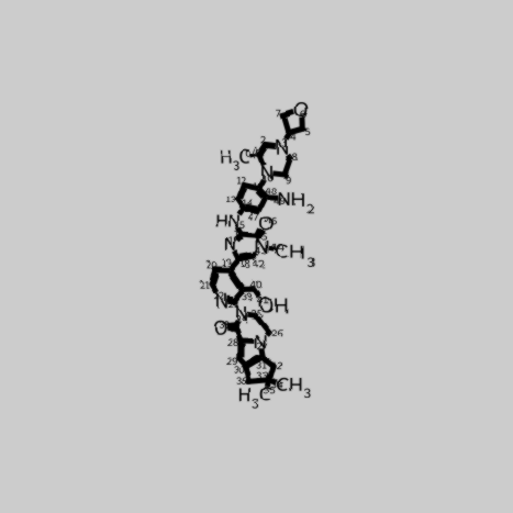 C[C@H]1CN(C2COC2)CCN1c1ccc(Nc2nc(-c3ccnc(N4CCn5c(cc6c5CC(C)(C)C6)C4=O)c3CO)cn(C)c2=O)cc1N